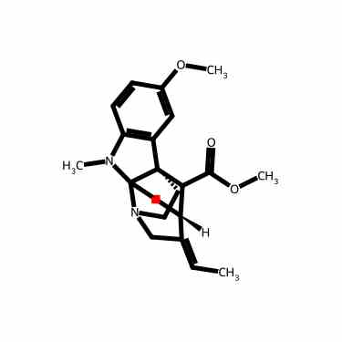 C/C=C1/CN2CC[C@@]34c5cc(OC)ccc5N(C)C23CC[C@@H]1C4C(=O)OC